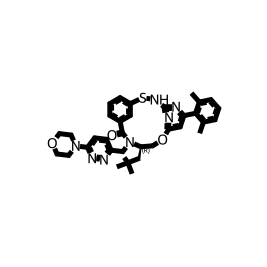 Cc1cccc(C)c1-c1cc2nc(n1)NSc1cccc(c1)C(=O)N(Cc1ccc(N3CCOCC3)nn1)[C@H](CC(C)(C)C)CO2